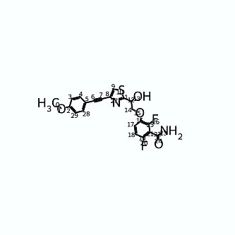 COc1ccc(C#Cc2csc(C(O)COc3ccc(F)c(C(N)=O)c3F)n2)cc1